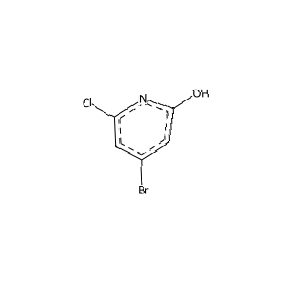 Oc1cc(Br)cc(Cl)n1